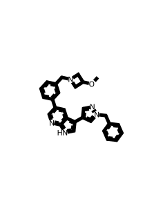 COC1CN(Cc2cccc(-c3cnc4[nH]cc(-c5cnn(Cc6ccccc6)c5)c4c3)c2)C1